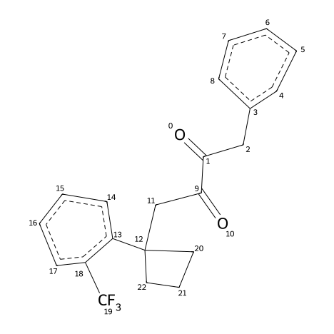 O=C(Cc1ccccc1)C(=O)CC1(c2ccccc2C(F)(F)F)CCC1